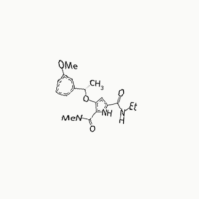 CCNC(=O)c1cc(O[C@@H](C)c2cccc(OC)c2)c(C(=O)NC)[nH]1